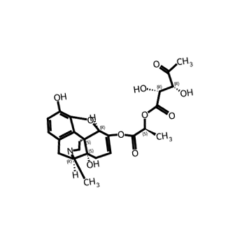 CC(=O)[C@H](O)[C@@H](O)C(=O)O[C@@H](C)C(=O)OC1=CC[C@@]2(O)[C@H]3Cc4ccc(O)c5c4[C@@]2(CCN3C)[C@H]1O5